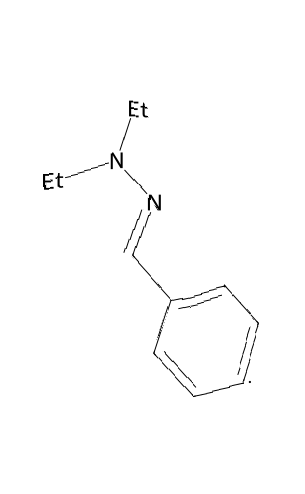 CCN(CC)N=Cc1cc[c]cc1